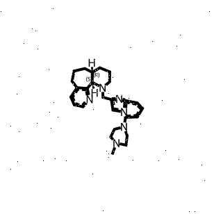 CN1CCN(c2cccc3nc(CN4CCC[C@H]5CCCc6cccnc6[C@H]54)cn23)CC1